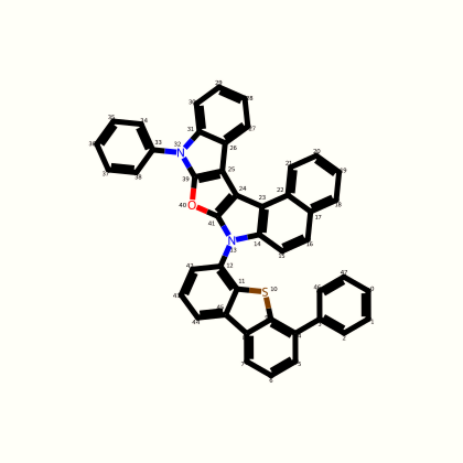 c1ccc(-c2cccc3c2sc2c(-n4c5ccc6ccccc6c5c5c6c7ccccc7n(-c7ccccc7)c6oc54)cccc23)cc1